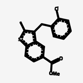 COC(=O)c1ccc2sc(C)c(Cc3ccccc3Cl)c2c1